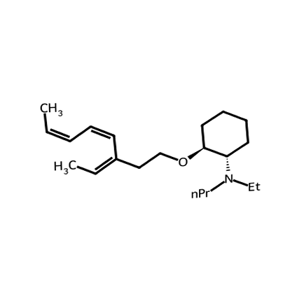 C\C=C/C=C\C(=C/C)CCO[C@H]1CCCC[C@@H]1N(CC)CCC